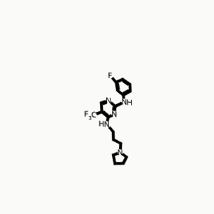 Fc1cccc(Nc2ncc(C(F)(F)F)c(NCCCN3CCCC3)n2)c1